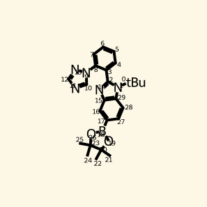 CC(C)(C)n1c(-c2ccccc2-n2cncn2)nc2cc(B3OC(C)(C)C(C)(C)O3)ccc21